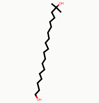 CC(C)(O)CCCCCCCCCCCCCCCCCO